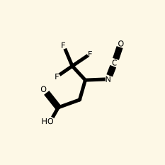 O=C=NC(CC(=O)O)C(F)(F)F